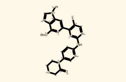 COc1nc(-c2nc(Nc3ccc(N4CCOCC4=O)cn3)ncc2F)cc2c1ncn2C(C)C